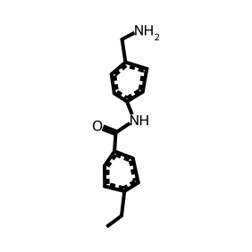 CCc1ccc(C(=O)Nc2ccc(CN)cc2)cc1